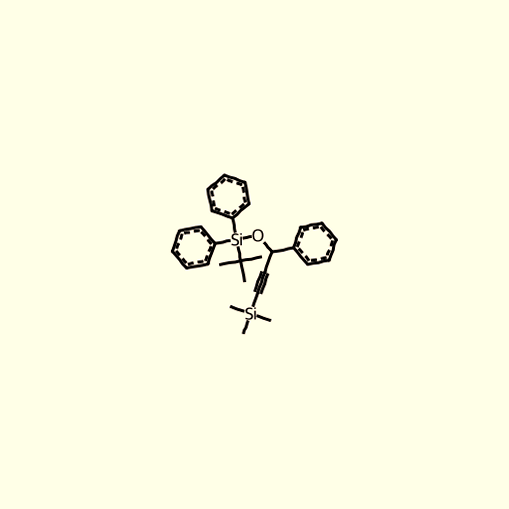 CC(C)(C)[Si](OC(C#C[Si](C)(C)C)c1ccccc1)(c1ccccc1)c1ccccc1